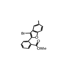 COC(=O)c1ccccc1-c1oc2ccc(C)cc2c1Br